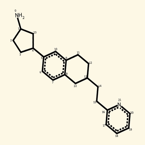 NC1CCC(c2ccc3c(c2)CCC(CCc2ccccn2)C3)C1